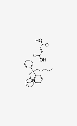 CCCCCC(CC1CC2CCN1CC2)(c1ccccc1)c1ccccc1.O=C(O)C=CC(=O)O